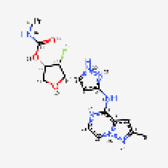 Cc1cc2c(Nc3cc([C@@H]4OC[C@H](OC(=O)NC(C)C)[C@H]4F)[nH]n3)nccn2n1